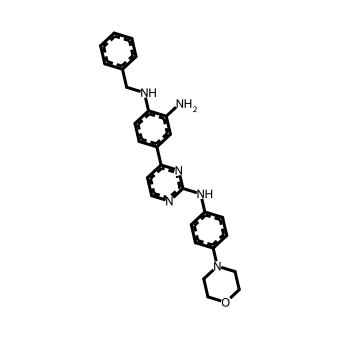 Nc1cc(-c2ccnc(Nc3ccc(N4CCOCC4)cc3)n2)ccc1NCc1ccccc1